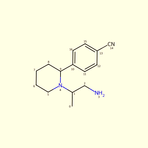 CC(CN)N1CCCCC1c1ccc(C#N)cc1